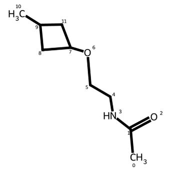 CC(=O)NCCOC1CC(C)C1